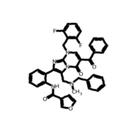 CN(Cc1ccccc1)Cc1c(-c2ccccc2NC(=O)c2ccoc2)nc2n(Cc3c(F)cccc3F)cc(C(=O)c3ccccc3)c(=O)n12